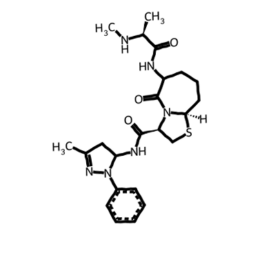 CN[C@@H](C)C(=O)NC1CCC[C@H]2SC[C@@H](C(=O)NC3CC(C)=NN3c3ccccc3)N2C1=O